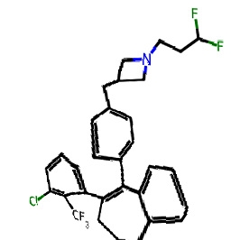 FC(F)CCN1CC(Cc2ccc(C3=C(c4cccc(Cl)c4C(F)(F)F)CCCc4ccccc43)cc2)C1